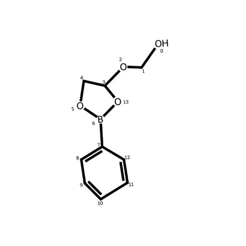 OCOC1COB(c2ccccc2)O1